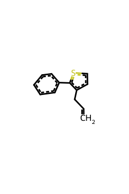 C=CCc1ccsc1-c1ccccc1